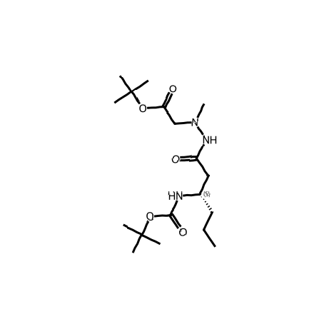 CCC[C@@H](CC(=O)NN(C)CC(=O)OC(C)(C)C)NC(=O)OC(C)(C)C